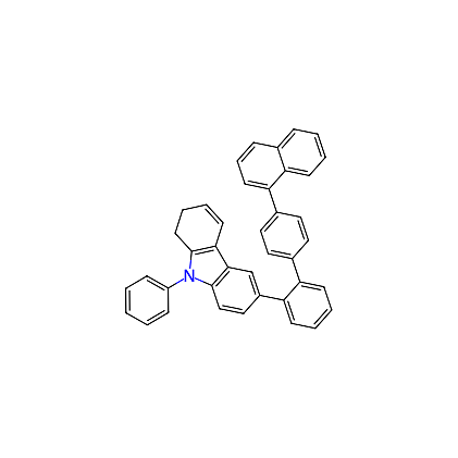 C1=Cc2c(n(-c3ccccc3)c3ccc(-c4ccccc4-c4ccc(-c5cccc6ccccc56)cc4)cc23)CC1